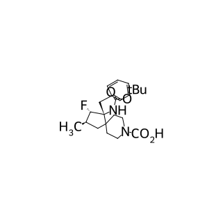 C[C@@H]1CC2(CCN(C(=O)O)CC2)[C@@](Cc2ccccc2)(NC(=O)OC(C)(C)C)[C@H]1F